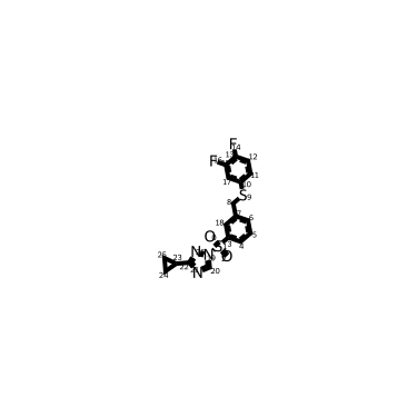 O=S(=O)(c1cccc(CSc2ccc(F)c(F)c2)c1)n1cnc(C2CC2)n1